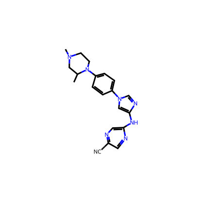 CC1CN(C)CCN1c1ccc(-n2cnc(Nc3cnc(C#N)cn3)c2)cc1